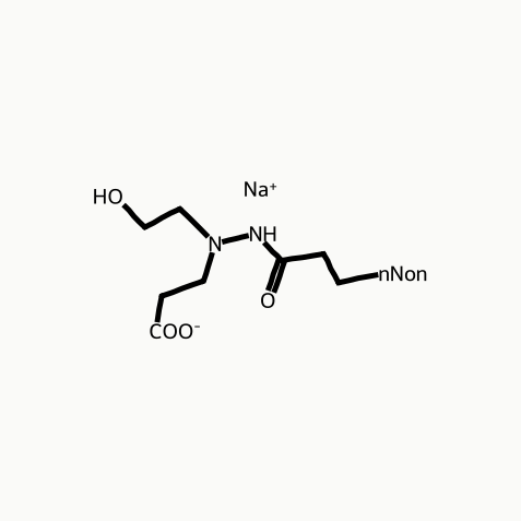 CCCCCCCCCCCC(=O)NN(CCO)CCC(=O)[O-].[Na+]